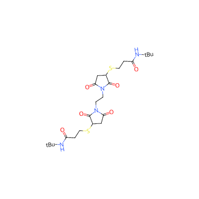 CC(C)(C)NC(=O)CCSC1CC(=O)N(CCN2C(=O)CC(SCCC(=O)NC(C)(C)C)C2=O)C1=O